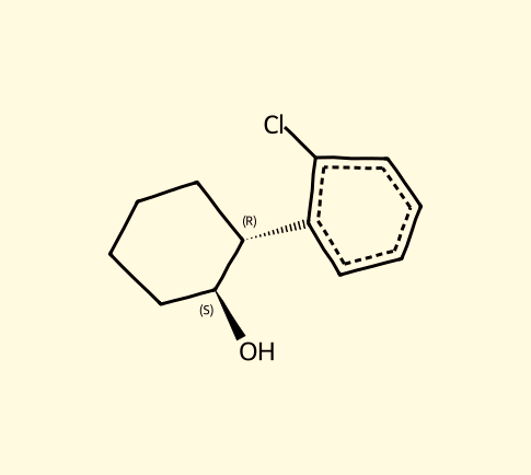 O[C@H]1CCCC[C@@H]1c1ccccc1Cl